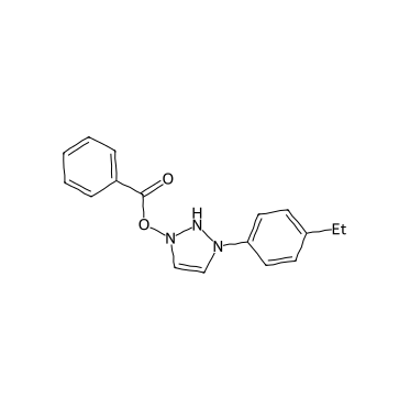 CCc1ccc(N2C=CN(OC(=O)c3ccccc3)N2)cc1